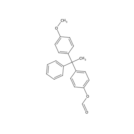 COc1ccc(C(C)(c2ccccc2)c2ccc(OC=O)cc2)cc1